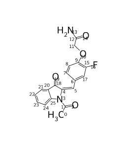 CC(=O)N1C(=Cc2ccc(OCC(N)=O)c(F)c2)C(=O)c2ccccc21